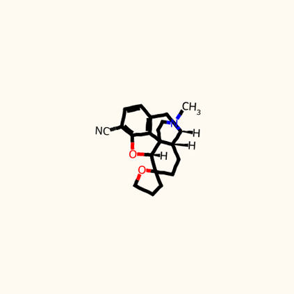 CN1CCC23c4c5ccc(C#N)c4O[C@H]2C2(CCCO2)CC[C@H]3[C@H]1C5